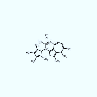 CC1=CC=C(C(C)C)C(C)C2=C(C)C[C]([Zr+2]([CH]3C(C)=C(C)C(C)=C3C)[SiH](C)C)=C12.[Cl-].[Cl-]